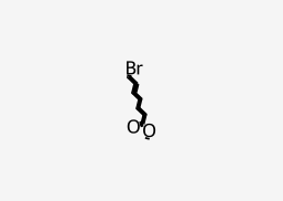 COC(=O)CCC/C=C/CBr